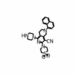 N#Cc1c(N2CCS(=O)(=O)CC2)nc(N2CCNCC2)c2c1CN(c1cccc3ccccc13)CC2